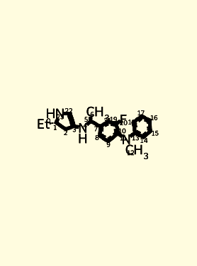 CC[C@H]1CC(NC(C)c2ccc(N(C)c3ccccc3)c(F)c2)=CN1